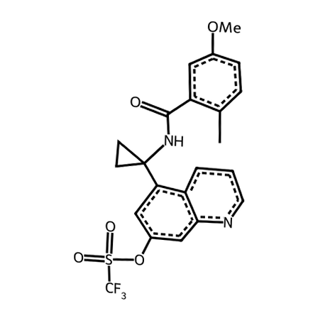 COc1ccc(C)c(C(=O)NC2(c3cc(OS(=O)(=O)C(F)(F)F)cc4ncccc34)CC2)c1